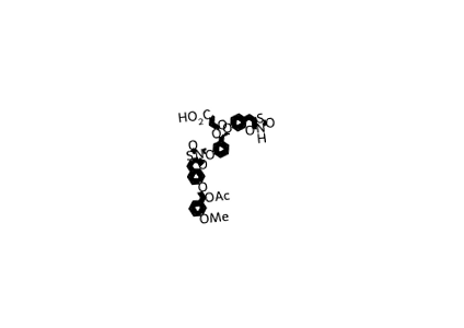 COc1cccc([C@@H](COc2ccc(CC3SC(=O)N(COc4cccc([C@H](COc5ccc(CC6SC(=O)NC6=O)cc5)OC(=O)CCC(=O)O)c4)C3=O)cc2)OC(C)=O)c1